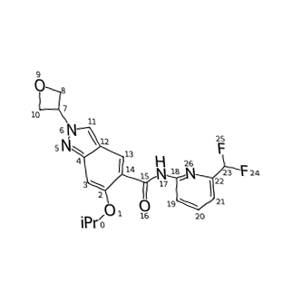 CC(C)Oc1cc2nn(C3COC3)cc2cc1C(=O)Nc1cccc(C(F)F)n1